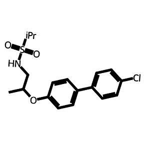 CC(CNS(=O)(=O)C(C)C)Oc1ccc(-c2ccc(Cl)cc2)cc1